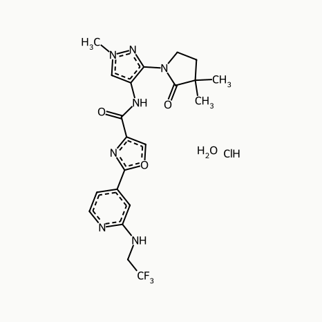 Cl.Cn1cc(NC(=O)c2coc(-c3ccnc(NCC(F)(F)F)c3)n2)c(N2CCC(C)(C)C2=O)n1.O